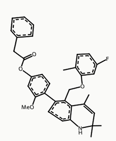 COc1cc(OC(=O)Cc2ccccc2)ccc1-c1ccc2c(c1COc1cc(F)ccc1C)C(C)=CC(C)(C)N2